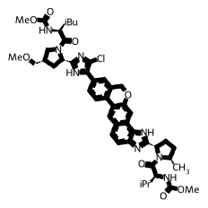 CC[C@H](C)[C@H](NC(=O)OC)C(=O)N1C[C@@H](COC)C[C@H]1c1nc(Cl)c(-c2ccc3c(c2)COc2cc4c(ccc5nc([C@@H]6CC[C@H](C)N6C(=O)[C@@H](NC(=O)OC)C(C)C)[nH]c54)cc2-3)[nH]1